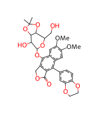 COc1cc2c(OC3OC(CO)C4OC(C)(C)OC4C3O)c3c(c(-c4ccc5c(c4)OCCO5)c2cc1OC)C(=O)OC3